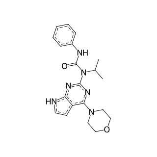 CC(C)N(C(=O)Nc1ccccc1)c1nc(N2CCOCC2)c2cc[nH]c2n1